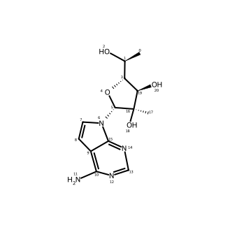 C[C@H](O)[C@H]1O[C@@H](n2ccc3c(N)ncnc32)[C@](C)(O)[C@@H]1O